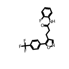 O=C(CCc1cnoc1-c1ccc(C(F)(F)F)cc1)Nc1ccccc1F